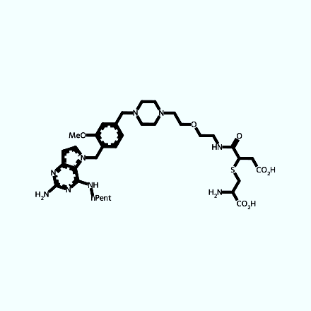 CCCCCNc1nc(N)nc2ccn(Cc3ccc(CN4CCN(CCOCCNC(=O)C(CC(=O)O)SCC(N)C(=O)O)CC4)cc3OC)c12